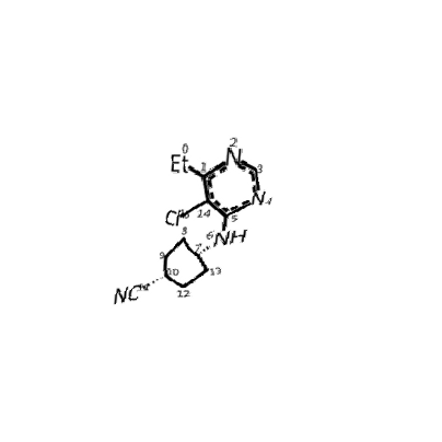 CCc1ncnc(N[C@H]2CC[C@@H](C#N)CC2)c1Cl